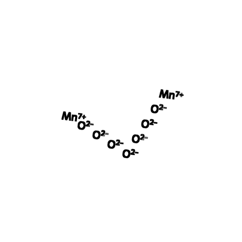 [Mn+7].[Mn+7].[O-2].[O-2].[O-2].[O-2].[O-2].[O-2].[O-2]